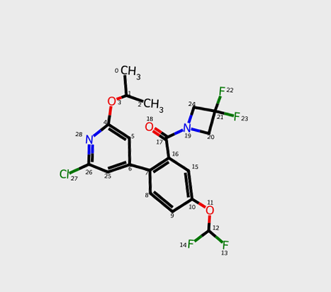 CC(C)Oc1cc(-c2ccc(OC(F)F)cc2C(=O)N2CC(F)(F)C2)cc(Cl)n1